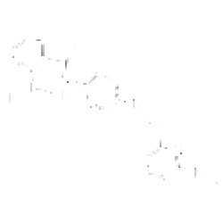 CN(C)c1ccccc1C(=O)Nc1ccc(NCCc2cccc(N)n2)cc1